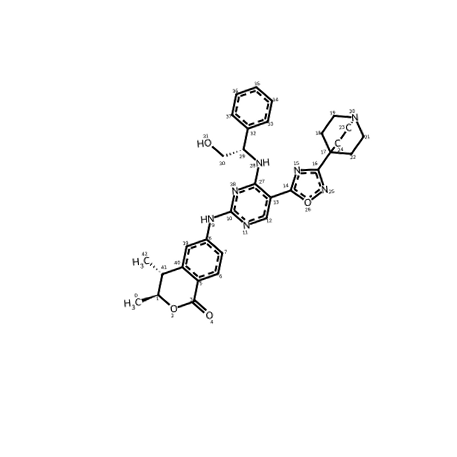 C[C@@H]1OC(=O)c2ccc(Nc3ncc(-c4nc(C56CCN(CC5)CC6)no4)c(N[C@H](CO)c4ccccc4)n3)cc2[C@H]1C